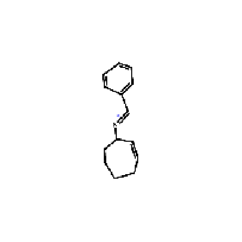 C1=CC(/N=C/c2ccccc2)CCCC1